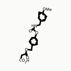 COc1ccc(CNC(=O)Oc2ccc(COC(=O)CC(=O)O)cc2)cc1